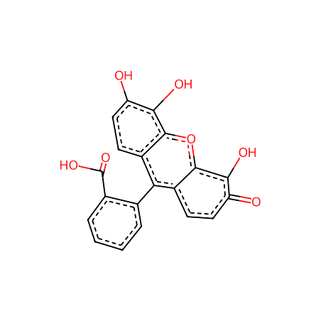 O=C(O)c1ccccc1-c1c2ccc(=O)c(O)c-2oc2c(O)c(O)ccc12